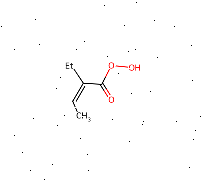 CC=C(CC)C(=O)OO